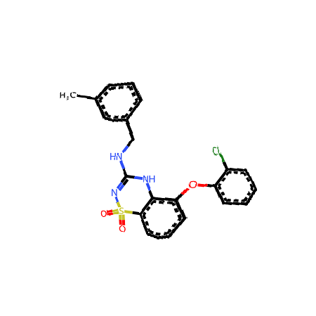 Cc1cccc(CNC2=NS(=O)(=O)c3cccc(Oc4ccccc4Cl)c3N2)c1